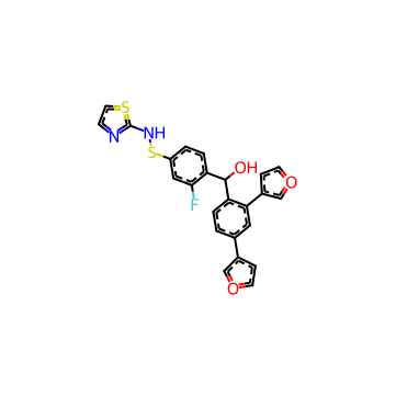 OC(c1ccc(SNc2nccs2)cc1F)c1ccc(-c2ccoc2)cc1-c1ccoc1